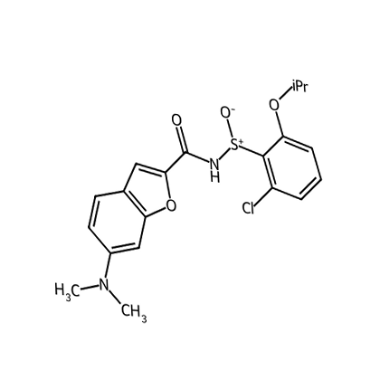 CC(C)Oc1cccc(Cl)c1[S+]([O-])NC(=O)c1cc2ccc(N(C)C)cc2o1